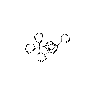 c1ccc(-c2ccc(-c3ccccc3[Si](c3ccccc3)(c3ccccc3)c3ccccc3)cc2)cc1